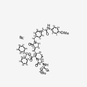 COc1ccc(NC(=O)C[n+]2ccc(CN3CCC(=CC4=C(C(=O)OC(c5ccccc5)c5ccccc5)N5C(=O)C(NC(=O)OC(C)(C)C)C5SC4)C3=O)cc2)cc1.[Br-]